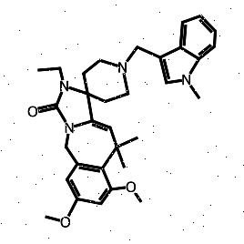 CCN1C(=O)N2Cc3cc(OC)cc(OC)c3C(C)(C)C=C2C12CCN(Cc1cn(C)c3ccccc13)CC2